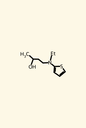 CCN(CCC(C)O)c1cccs1